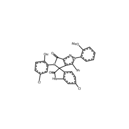 COc1ccccc1-n1nc2c(c1C(C)C)C1(C(=O)Nc3cc(Cl)ccc31)N(c1cc(Cl)ccc1O)C2=O